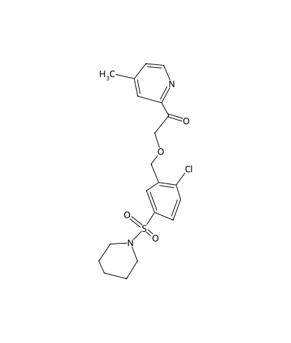 Cc1ccnc(C(=O)COCc2cc(S(=O)(=O)N3CCCCC3)ccc2Cl)c1